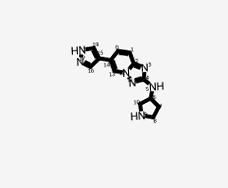 c1cc2nc(NC3CCNC3)nn2cc1-c1cn[nH]c1